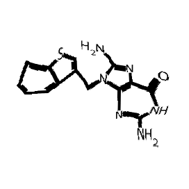 Nc1nc2c(nc(N)n2Cc2csc3ccccc23)c(=O)[nH]1